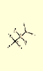 FC(F)[Si](Cl)(Cl)C(F)(F)F